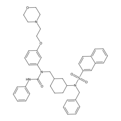 O=C(Nc1ccccc1)N(CC1CCCC(N(Cc2ccccc2)S(=O)(=O)c2ccc3ccccc3c2)C1)c1cccc(OCCN2CCOCC2)c1